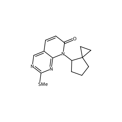 CSc1ncc2ccc(=O)n(C3CCCC34CC4)c2n1